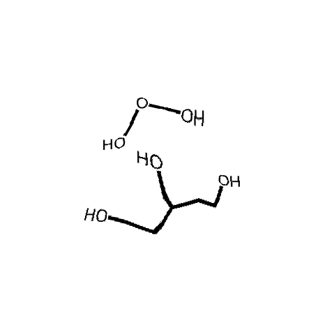 OCC(O)CO.OOO